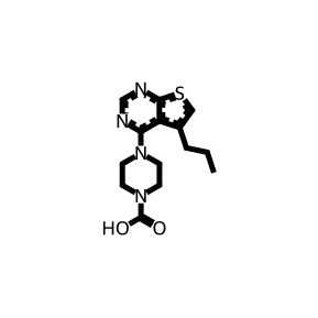 CCCc1csc2ncnc(N3CCN(C(=O)O)CC3)c12